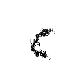 COC(=O)c1cc(C(=O)c2c(C)c(OCc3cccc(OCC(=O)NCCNC(=O)COc4cccc(COc5c(C)c(C(=O)c6ccc(N)c(C(=O)OC)c6)c6ccccn56)c4)c3)n3ccccc23)ccc1N